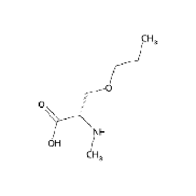 CCCOC[C@H](NC)C(=O)O